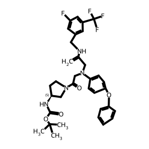 C=C(CN(CC(=O)N1CC[C@H](NC(=O)OC(C)(C)C)C1)c1ccc(Oc2ccccc2)cc1)NCc1cc(F)cc(C(F)(F)F)c1